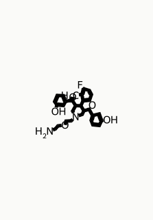 Cc1c(F)cccc1C1C(C(=O)c2cccc(O)c2)CN(CCOCCN)CC1C(=O)c1cccc(O)c1